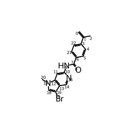 C=C(C)c1ccc(C(=O)Nc2cc3c(cn2)c(Br)cn3C)cc1